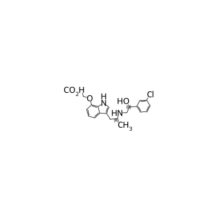 C[C@H](Cc1c[nH]c2c(OCC(=O)O)cccc12)NC[C@H](O)c1cccc(Cl)c1